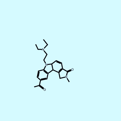 CCN(CC)CCN1c2ccc(C(C)=O)cc2C2C3=C(C=CC21)C(=O)N(C)C3